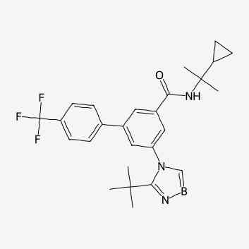 CC(C)(C)c1nbcn1-c1cc(C(=O)NC(C)(C)C2CC2)cc(-c2ccc(C(F)(F)F)cc2)c1